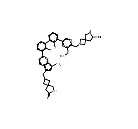 COc1nc(-c2cccc(-c3cccc(-c4ccc5c(CN6CC7(CNC(=O)C7)C6)cn(C)c5n4)c3Cl)c2Cl)cnc1CN1CC2(CNC(O)C2)C1